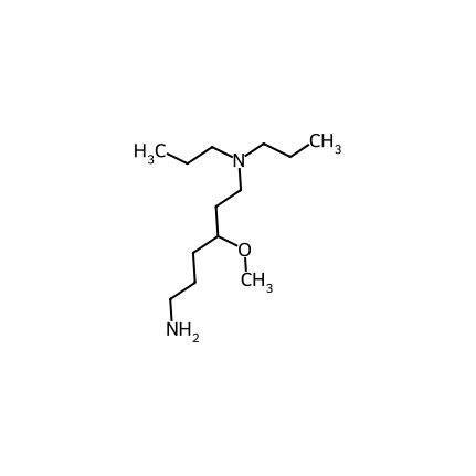 CCCN(CCC)CCC(CCCN)OC